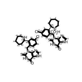 O=C(O)N1CCCCC[C@@H]1c1cc(Cl)ccc1Cn1c(=S)[nH]c(=O)c2[nH]cnc21.O=c1[nH]c(=S)n(Cc2ccc(Cl)cc2[C@H]2CCCCCN2)c2nc[nH]c12